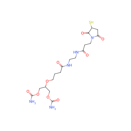 NC(=O)OCC(COC(N)=O)OCCCC(=O)NCCNC(=O)CCN1C(=O)CC(S)C1=O